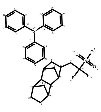 O=S(=O)([O-])C(F)(F)CC1CC2CC1C1C3CCC(C3)C21.c1ccc([S+](c2ccccc2)c2ccccc2)cc1